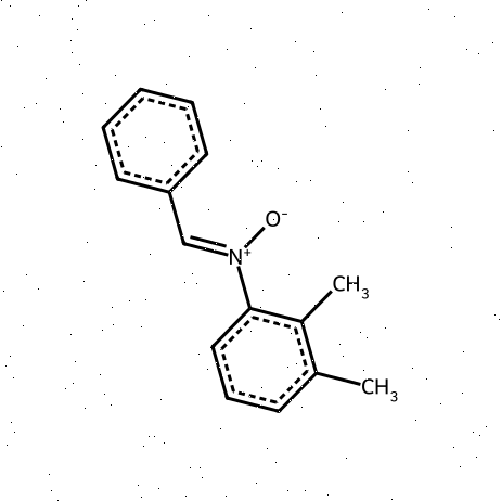 Cc1cccc([N+]([O-])=Cc2ccccc2)c1C